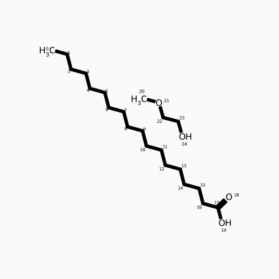 CCCCCCCCCCCCCCCCCC(=O)O.COCCO